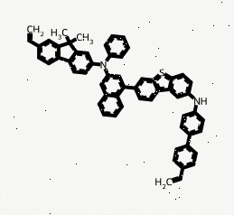 C=Cc1ccc(-c2ccc(Nc3ccc4sc5cc(-c6cc(N(c7ccccc7)c7ccc8c(c7)C(C)(C)c7cc(C=C)ccc7-8)cc7ccccc67)ccc5c4c3)cc2)cc1